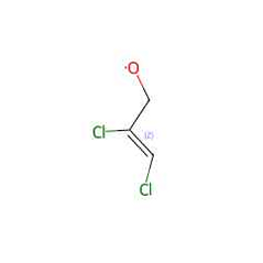 [O]C/C(Cl)=C/Cl